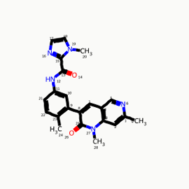 Cc1cc2c(cn1)cc(-c1cc(NC(=O)c3nccn3C)ccc1C)c(=O)n2C